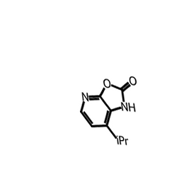 CC(C)c1ccnc2oc(=O)[nH]c12